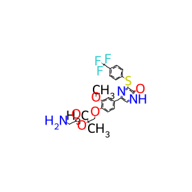 COc1cc(-c2c[nH]c(=O)c(Sc3ccc(C(F)(F)F)cc3)n2)ccc1OCC(C)(C)OC(=O)CN